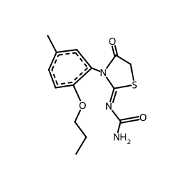 CCCOc1ccc(C)cc1N1C(=O)CSC1=NC(N)=O